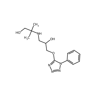 CC(C)(CO)NCC(O)COc1nnnn1-c1ccccc1